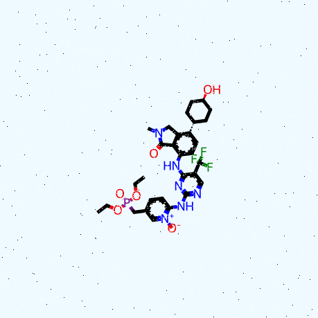 CCOP(=O)(Cc1ccc(Nc2ncc(C(F)(F)F)c(Nc3ccc([C@H]4CC[C@H](O)CC4)c4c3C(=O)N(C)C4)n2)[n+]([O-])c1)OCC